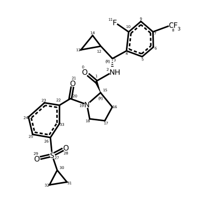 O=C(N[C@@H](c1ccc(C(F)(F)F)cc1F)C1CC1)[C@H]1CCCN1C(=O)c1cccc(S(=O)(=O)C2CC2)c1